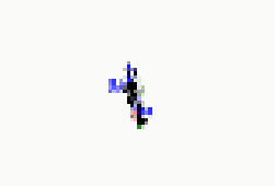 CN1CCN(c2c(N)c(C=N)c(-c3ccc4nc(NC(=O)[C@@H]5C[C@@H]5F)cn4c3)c(Cl)c2F)CC1